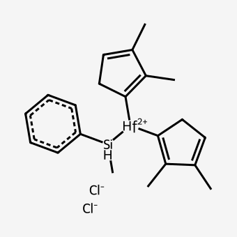 CC1=CC[C]([Hf+2]([C]2=C(C)C(C)=CC2)[SiH](C)c2ccccc2)=C1C.[Cl-].[Cl-]